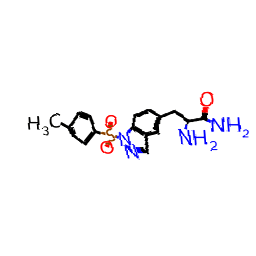 Cc1ccc(S(=O)(=O)n2ncc3cc(C[C@H](N)C(N)=O)ccc32)cc1